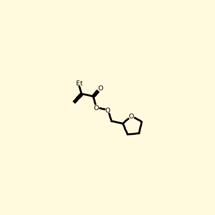 C=C(CC)C(=O)OOCC1CCCO1